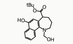 CC(C)(C)OC(=O)C1CCCN(CO)c2c1cc(O)c1ccccc21